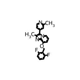 Cc1cc(-c2c(C)nc3c(OCc4c(F)cccc4F)cccn23)ccn1